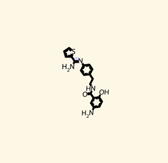 N/C(=N\c1ccc(CCNC(=O)c2cc(N)ccc2O)cc1)c1cccs1